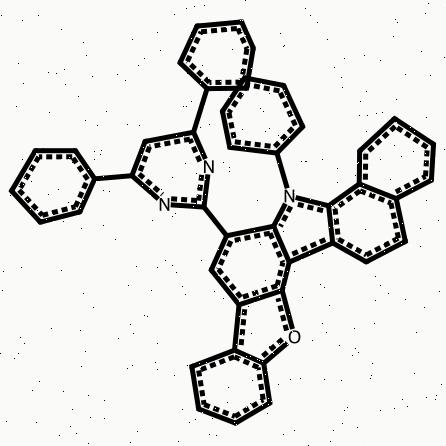 c1ccc(-c2cc(-c3ccccc3)nc(-c3cc4c5ccccc5oc4c4c5ccc6ccccc6c5n(-c5ccccc5)c34)n2)cc1